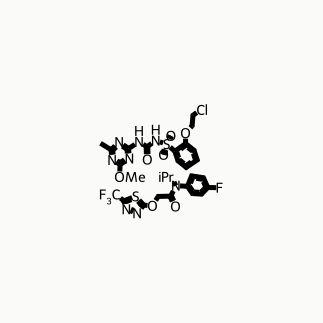 CC(C)N(C(=O)COc1nnc(C(F)(F)F)s1)c1ccc(F)cc1.COc1nc(C)nc(NC(=O)NS(=O)(=O)c2ccccc2OCCCl)n1